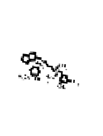 CC[N+](CC)(CCCCN(Cc1ccc2ccccc2c1)S(=O)(=O)c1ccc(OC)c(OC)c1)Cc1cc(C)cc(C)c1